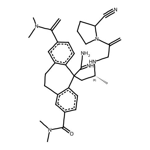 C=C(c1ccc2c(c1)CCc1cc(C(=O)N(C)C)ccc1C2(C[C@@H](C)NCC(=C)N1CCCC1C#N)C(=N)N)N(C)C